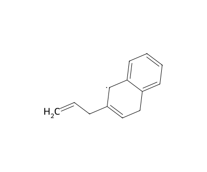 C=CCC1=CCc2ccccc2[CH]1